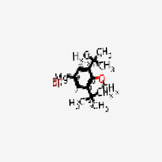 COc1c(C(C)(C)C)c[c]([Mg+])cc1C(C)(C)C.[Br-]